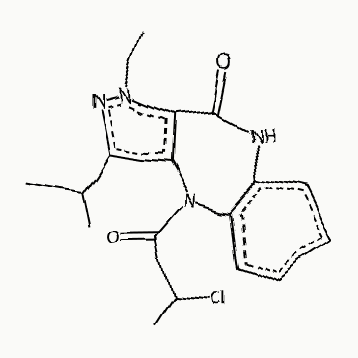 CC(Cl)C(=O)N1c2ccccc2NC(=O)c2c1c(C(C)C)nn2C